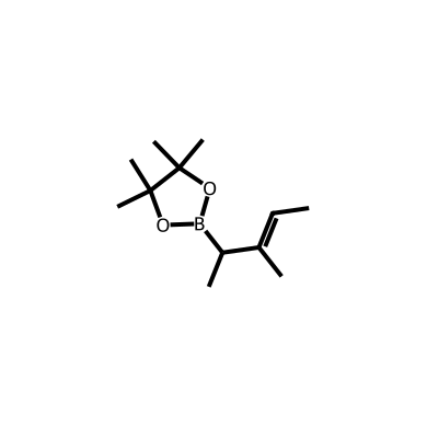 CC=C(C)C(C)B1OC(C)(C)C(C)(C)O1